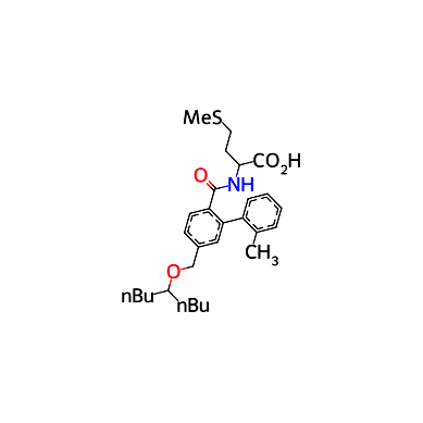 CCCCC(CCCC)OCc1ccc(C(=O)NC(CCSC)C(=O)O)c(-c2ccccc2C)c1